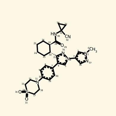 Cn1cc(-n2cc(-c3ccc(N4CCS(=O)(=O)CC4)cc3)c([C@@H]3CCCC[C@H]3C(=O)NC3(C#N)CC3)n2)cn1